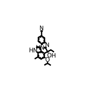 CCC(O)(c1nc2cc(C#N)ccc2[nH]1)c1c(OC(C)C)cc(C)c2[nH]ccc12